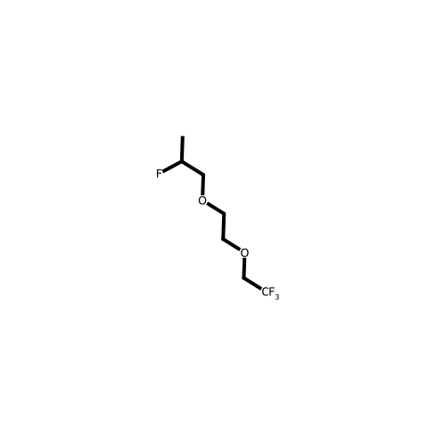 CC(F)COCCOCC(F)(F)F